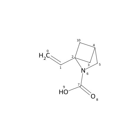 C=CC12CC(CN1C(=O)O)C2